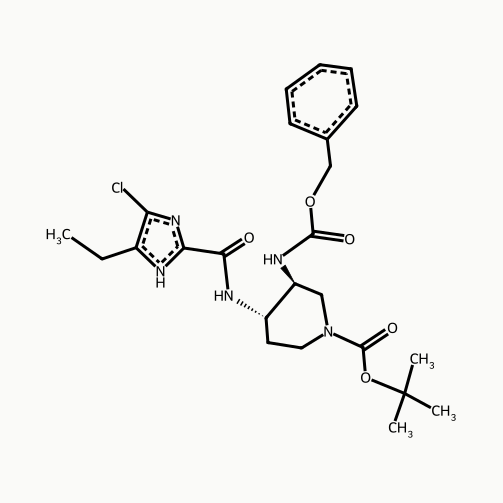 CCc1[nH]c(C(=O)N[C@H]2CCN(C(=O)OC(C)(C)C)C[C@@H]2NC(=O)OCc2ccccc2)nc1Cl